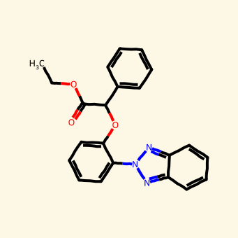 CCOC(=O)C(Oc1ccccc1-n1nc2ccccc2n1)c1ccccc1